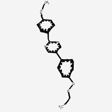 CCOOc1ccc(-c2cnc(-c3ccc(OC)cc3)nc2)cc1